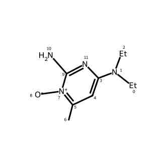 CCN(CC)c1cc(C)[n+]([O-])c(N)n1